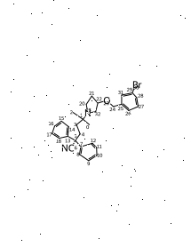 CC(C)(CCC(C#N)(c1ccccc1)c1ccccc1)N1CCC(OCc2cccc(Br)c2)C1